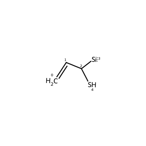 C=CC([Si])S